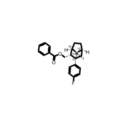 CN1[C@H]2CC[C@@H]1[C@@H](COC(=O)c1ccccc1)[C@@H](c1ccc(F)cc1)C2